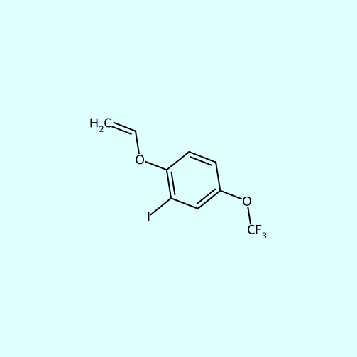 C=COc1ccc(OC(F)(F)F)cc1I